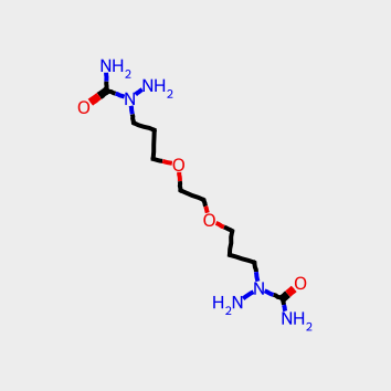 NC(=O)N(N)CCCOCCOCCCN(N)C(N)=O